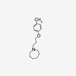 Cc1ccc(OCCCN2CCCCCC2)cc1